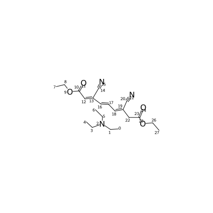 CCN(CC)CC.CCOC(=O)C=C(C#N)C=CC=C(C#N)CC(=O)OCC